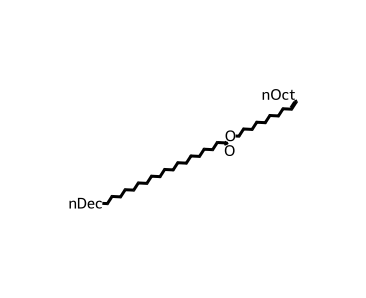 CCCCCCCC/C=C\CCCCCCCCOC(=O)CCCCCCCCCCCCCCCCCCCCCCCCCCCC